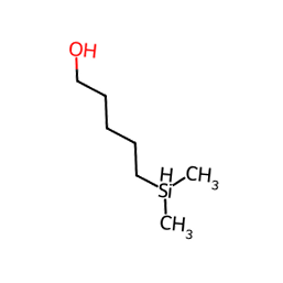 C[SiH](C)CCCCCO